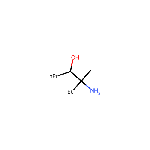 CCCC(O)C(C)(N)CC